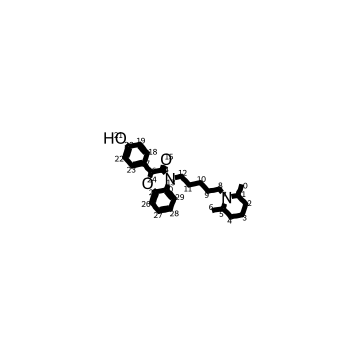 CC1CCCC(C)N1CCCCCN1C(=O)C(c2ccc(O)cc2)Oc2ccccc21